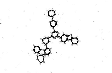 c1ccc(-c2ccc(-c3nc(-c4cccc(-c5cccc6c5-c5ccccc5C65CCCCC5)c4)nc(-c4ccc5c(c4)oc4ccccc45)n3)cc2)cc1